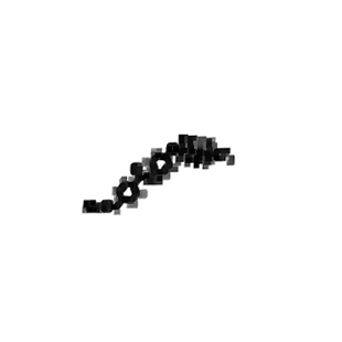 COCc1ccc(C(=O)Nc2ccc(OC(F)(F)C(F)(F)C(F)(F)C(F)(F)C(F)(F)F)cc2)cc1